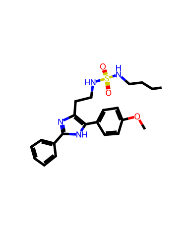 CCCCNS(=O)(=O)NCCc1nc(-c2ccccc2)[nH]c1-c1ccc(OC)cc1